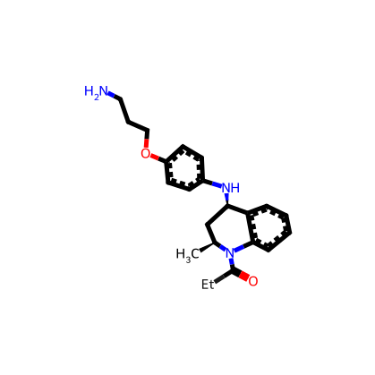 CCC(=O)N1c2ccccc2[C@H](Nc2ccc(OCCCN)cc2)C[C@@H]1C